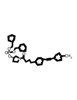 Cc1ccc(C#Cc2ccc(CCCC(=O)N3CC[C@@H](OP(=O)(OCc4ccccc4)OCc4ccccc4)C3)cc2)cc1